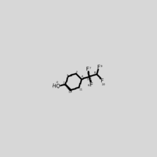 OC1CCC(C(F)(F)C(F)F)CC1